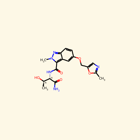 Cc1ncc(COc2ccc3nn(C)c(C(=O)N[C@H](C(N)=O)[C@@H](C)O)c3c2)o1